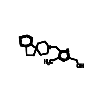 Cc1cc(CO)sc1CN1CCC2(CCc3ccccc32)CC1